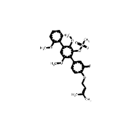 COc1ccccc1-c1cc(OC)c(-c2ccc(OCC=C(C)C)c(F)c2)c(OS(C)(=O)=O)c1OC